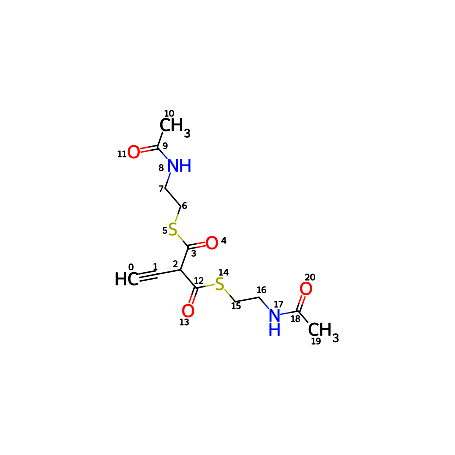 C#CC(C(=O)SCCNC(C)=O)C(=O)SCCNC(C)=O